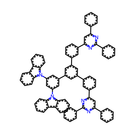 c1ccc(-c2cc(-c3cccc(-c4cc(-c5cccc(-c6cc(-c7ccccc7)nc(-c7ccccc7)n6)c5)cc(-c5cc(-n6c7ccccc7c7ccccc76)cc(-n6c7ccccc7c7ccccc76)c5)c4)c3)nc(-c3ccccc3)n2)cc1